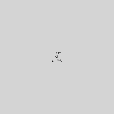 [Cl-].[Cl-].[Fe+2].[SiH4]